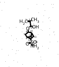 C=C(C)C(O)OC1CC2CC1CC2S(N)(=O)=O